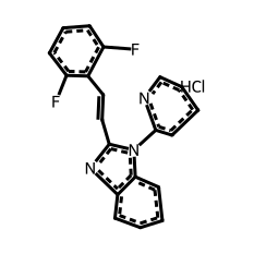 Cl.Fc1cccc(F)c1C=Cc1nc2ccccc2n1-c1ccccn1